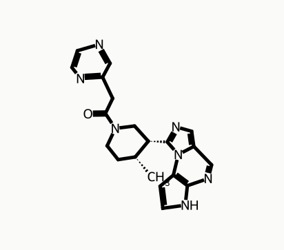 C[C@@H]1CCN(C(=O)Cc2cnccn2)C[C@@H]1c1ncc2cnc3[nH]ccc3n12